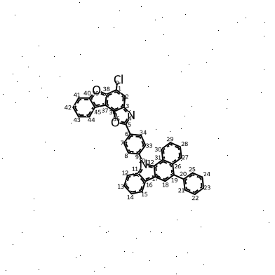 Clc1cc2nc(-c3ccc(-n4c5ccccc5c5cc(-c6ccccc6)c6ccccc6c54)cc3)oc2c2c1oc1ccccc12